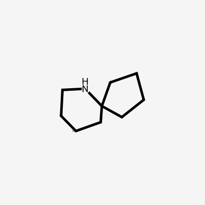 [CH]1CCNC2(C1)CCCC2